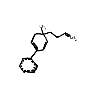 C=CCCC1(C)C=CC(c2ccccc2)=CC1